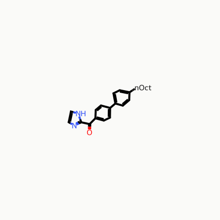 CCCCCCCCc1ccc(-c2ccc(C(=O)c3ncc[nH]3)cc2)cc1